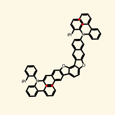 CC(C)c1ccccc1N(c1ccc2cc3c(cc2c1)oc1c3ccc2oc3cc4cc(N(c5ccccc5-c5ccccc5)c5ccccc5C(C)C)ccc4cc3c21)c1ccccc1-c1ccccc1